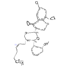 O=C(O)CC/C=C\C[C@@H]1CO[C@H](c2coc3c(Cl)cc(Cl)cc3c2=O)O[C@@H]1c1ccccc1O